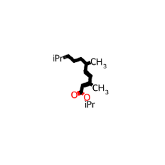 CC(C=CC(C)CCCC(C)C)=CC(=O)OC(C)C